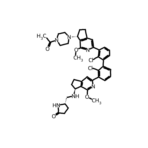 COc1nc(-c2cccc(-c3cccc(-c4cc5c(c(OC)n4)[C@H](N4CCN(C(C)=O)CC4)CC5)c3Cl)c2Cl)cc2c1[C@@H](NC[C@@H]1CCC(=O)N1)CC2